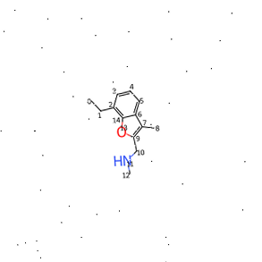 CCc1cccc2c(C)c(CNC)oc12